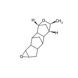 C[C@@H]1O[C@@H]2C[C@H]1C1C3CC(C4C3CC3OC34)C12